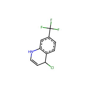 FC(F)(F)c1ccc2c(c1)NC=CC2Cl